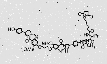 COc1cc2c(cc1OCCCOc1cc3c(cc1OC)C(=O)N1C=C(c4ccc(NC(=O)[C@H](C)NC(=O)[C@@H](NC(=O)CCCCCN5C(=O)C=CC5=O)C(C)C)cc4)C[C@H]1C=N3)N=CC1CCC(c3ccc(O)cc3)=CN1C2=O